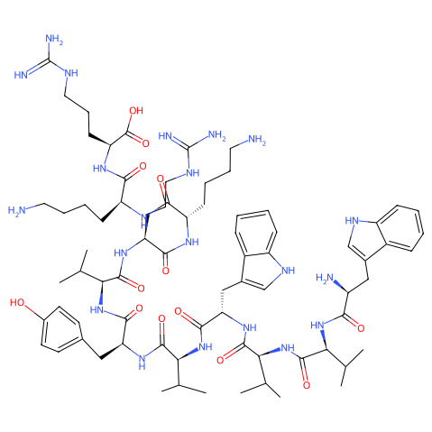 CC(C)[C@H](NC(=O)[C@H](Cc1ccc(O)cc1)NC(=O)[C@@H](NC(=O)[C@H](Cc1c[nH]c2ccccc12)NC(=O)[C@@H](NC(=O)[C@@H](NC(=O)[C@@H](N)Cc1c[nH]c2ccccc12)C(C)C)C(C)C)C(C)C)C(=O)N[C@@H](CCCNC(=N)N)C(=O)N[C@@H](CCCCN)C(=O)N[C@@H](CCCCN)C(=O)N[C@@H](CCCNC(=N)N)C(=O)O